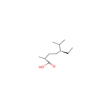 CC[C@@H](CCC(C)C(=O)O)C(C)C